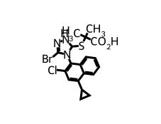 CC(C)(SC1NN=C(Br)N1c1c(Cl)cc(C2CC2)c2ccccc12)C(=O)O